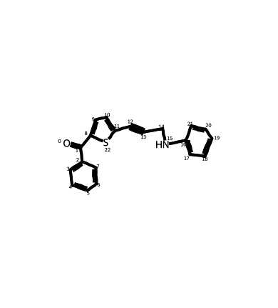 O=C(c1ccccc1)c1ccc(C#CCNc2ccccc2)s1